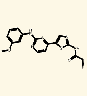 COc1cccc(Nc2nccc(-c3cnc(NC(=O)CF)s3)n2)c1